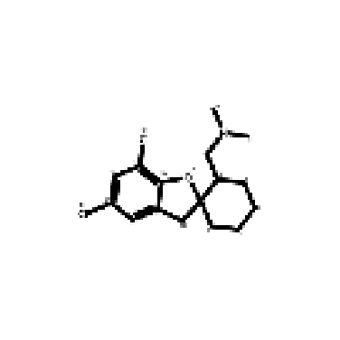 CN(C)CC1CCCCC12Cc1cc(Cl)cc(Cl)c1O2